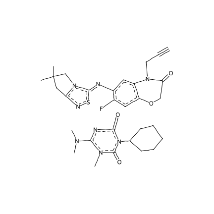 C#CCN1C(=O)COc2cc(F)c(/N=c3\snc4n3CC(C)(C)C4)cc21.CN(C)c1nc(=O)n(C2CCCCC2)c(=O)n1C